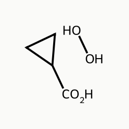 O=C(O)C1CC1.OO